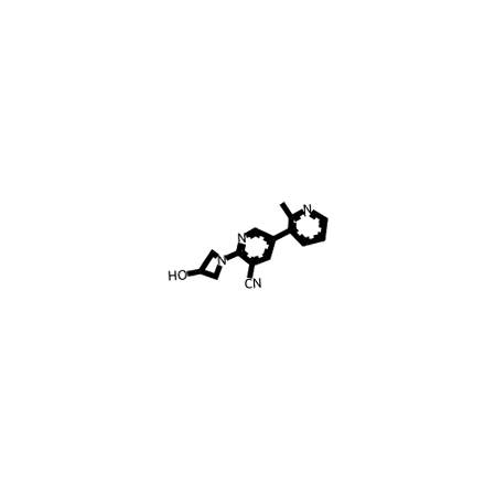 Cc1ncccc1-c1cnc(N2CC(O)C2)c(C#N)c1